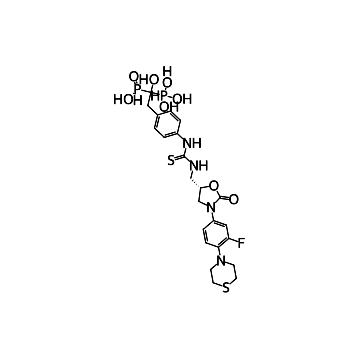 O=C1O[C@@H](CNC(=S)Nc2ccc(CC(O)([PH](=O)O)[PH](O)(O)O)cc2)CN1c1ccc(N2CCSCC2)c(F)c1